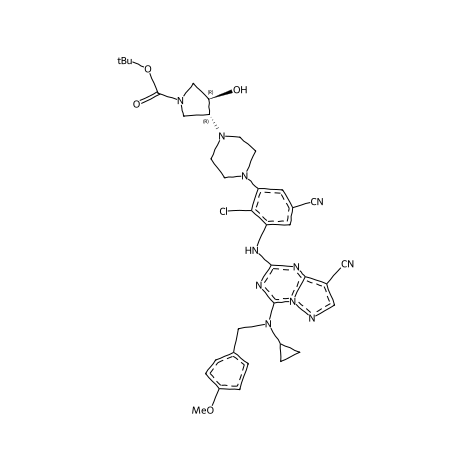 COc1ccc(CN(c2nc(Nc3cc(C#N)cc(N4CCN([C@@H]5CN(C(=O)OC(C)(C)C)C[C@H]5O)CC4)c3Cl)nc3c(C#N)cnn23)C2CC2)cc1